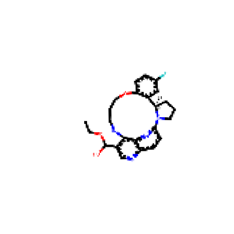 CCOC(O)c1cnc2ccc3nc2c1NCCCOc1ccc(F)cc1[C@H]1CCCN31